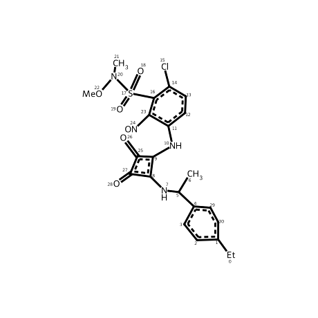 CCc1ccc(C(C)Nc2c(Nc3ccc(Cl)c(S(=O)(=O)N(C)OC)c3N=O)c(=O)c2=O)cc1